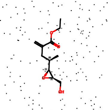 C=C(C[C@@H](C)[C@@H]1O[C@@H]1CO)C(=O)OCC